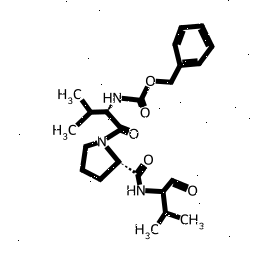 CC(C)C(C=O)NC(=O)[C@@H]1CCCN1C(=O)[C@@H](NC(=O)OCc1ccccc1)C(C)C